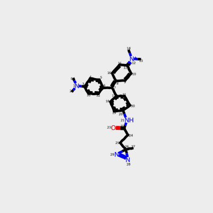 CN(C)c1ccc(C(=C2C=CC(=[N+](C)C)C=C2)c2ccc(NC(=O)CCC3(C)N=N3)cc2)cc1